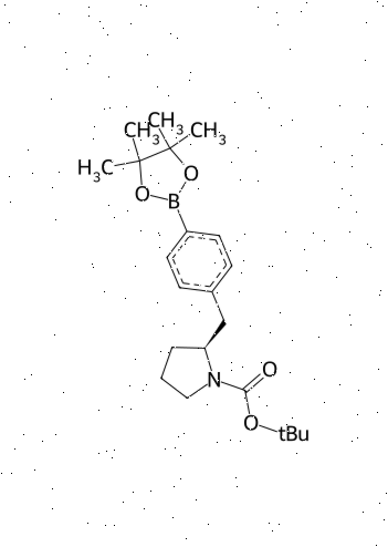 CC(C)(C)OC(=O)N1CCC[C@H]1Cc1ccc(B2OC(C)(C)C(C)(C)O2)cc1